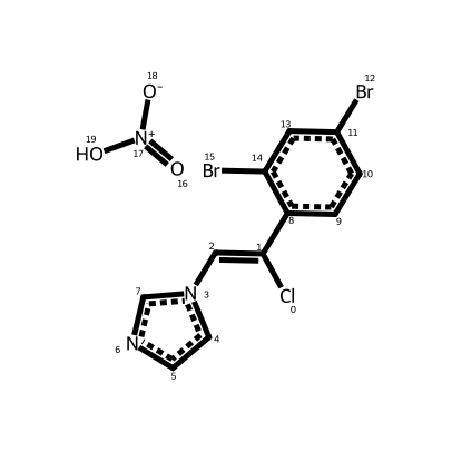 ClC(=Cn1ccnc1)c1ccc(Br)cc1Br.O=[N+]([O-])O